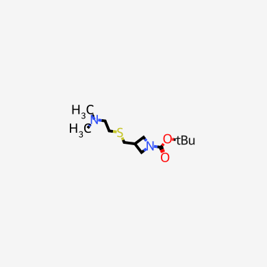 CN(C)CCSCC1CN(C(=O)OC(C)(C)C)C1